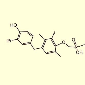 Cc1cc(Cc2ccc(O)c(C(C)C)c2)c(C)c(I)c1OCP(C)(=O)O